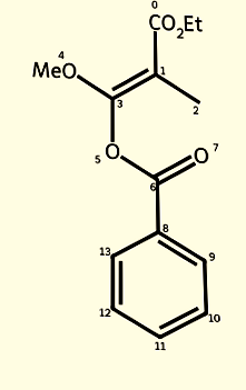 CCOC(=O)C(C)=C(OC)OC(=O)c1ccccc1